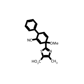 COC1(c2nc(C)c(C(=O)O)s2)C=CC(c2ccccc2)C(C#N)=C1